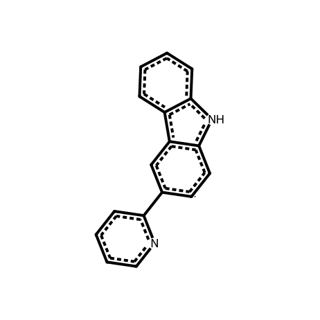 [c]1cc2[nH]c3ccccc3c2cc1-c1ccccn1